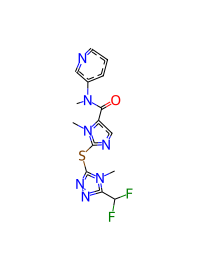 CN(C(=O)c1cnc(Sc2nnc(C(F)F)n2C)n1C)c1cccnc1